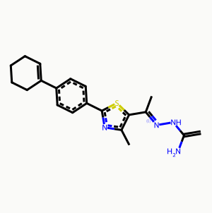 C=C(N)N/N=C(\C)c1sc(-c2ccc(C3=CCCCC3)cc2)nc1C